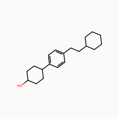 OC1CCC(c2ccc(CCC3CCCCC3)cc2)CC1